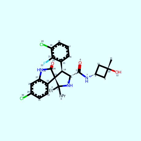 CCCC1(CC)N[C@@H](C(=O)N[C@H]2C[C@@](C)(O)C2)[C@H](c2cccc(Cl)c2F)[C@]12C(=O)Nc1cc(Cl)ccc12